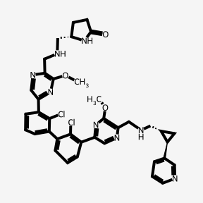 COc1nc(-c2cccc(-c3cccc(-c4cnc(CNC[C@@H]5C[C@H]5c5cccnc5)c(OC)n4)c3Cl)c2Cl)cnc1CNC[C@@H]1CCC(=O)N1